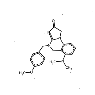 COc1ccc(CN2Cc3c(N(C)C)cccc3N3CC(=O)N=C23)cc1